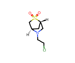 O=S1(=O)C[C@H]2C[C@H]1CN2CCCl